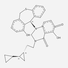 O=C1c2c(O)c(=O)ccn2N([C@@H]2c3ccccc3SCc3cccc(O)c32)CN1CC[C@@H]1C[C@H]1C1CC1